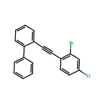 Clc1ccc(C#Cc2ccccc2-c2ccccc2)c(Br)c1